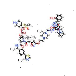 Cc1ncsc1-c1ccc([C@H](C)NC(=O)[C@@H]2C[C@@H](OC(=O)OCC3(SS(C)(=O)=O)CCNCC3)CN2C(=O)[C@@H](c2cc(OCCN3CCN(CCOc4cc(N5C6CCC5CN(c5cc(-c7ccccc7O)nnc5N)C6)ccn4)[C@H](C)C3)no2)C(C)C)cc1